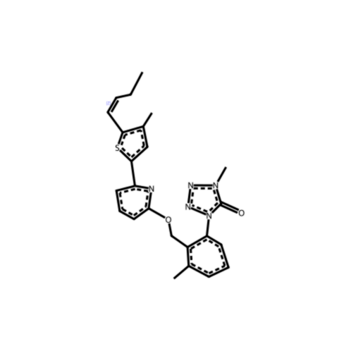 CC/C=C\c1sc(-c2cccc(OCc3c(C)cccc3-n3nnn(C)c3=O)n2)cc1C